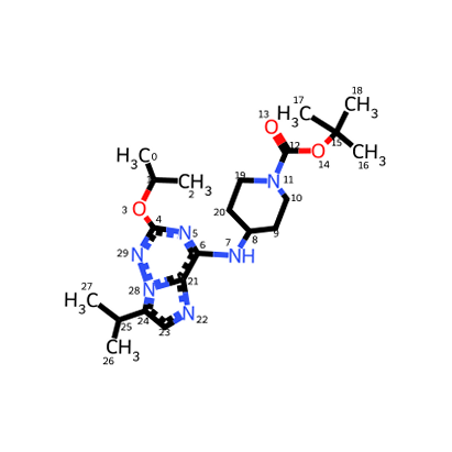 CC(C)Oc1nc(NC2CCN(C(=O)OC(C)(C)C)CC2)c2ncc(C(C)C)n2n1